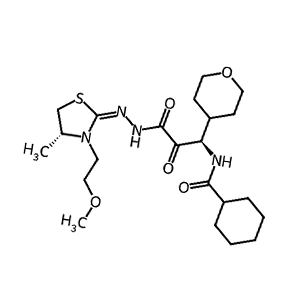 COCCN1C(=NNC(=O)C(=O)[C@H](NC(=O)C2CCCCC2)C2CCOCC2)SC[C@H]1C